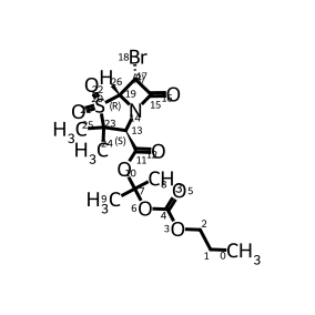 CCCOC(=O)OC(C)(C)OC(=O)[C@@H]1N2C(=O)[C@@H](Br)[C@H]2S(=O)(=O)C1(C)C